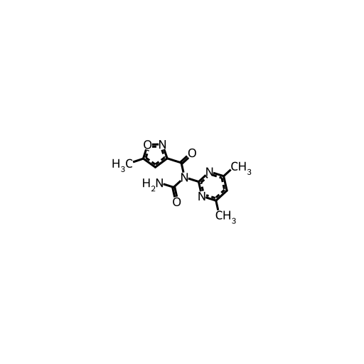 Cc1cc(C)nc(N(C(N)=O)C(=O)c2cc(C)on2)n1